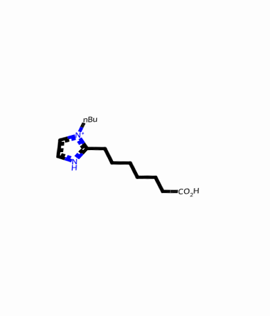 CCCC[n+]1cc[nH]c1CCCCCCC(=O)O